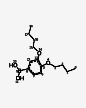 CCCCOc1ccc(B(O)O)cc1OCCCC